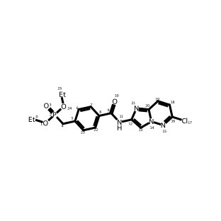 CCOP(=O)(Cc1ccc(C(=O)Nc2cn3nc(Cl)ccc3n2)cc1)OCC